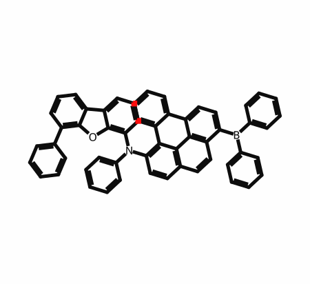 c1ccc(B(c2ccccc2)c2ccc3c4ccccc4c4c(N(c5ccccc5)c5cccc6c5oc5c(-c7ccccc7)cccc56)ccc5ccc2c3c54)cc1